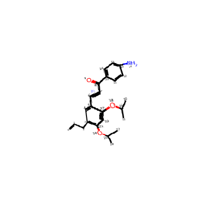 C=CCc1cc(/C=C/C(=O)c2ccc(N)cc2)c(OC(C)C)cc1OC(C)C